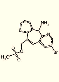 CS(=O)(=O)OCC1=Cc2cc(Br)cnc2C(N)c2ccccc21